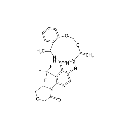 C=C1CCOc2ccccc2C(=C)Nc2nc1nc1cnc(N3CCOCC3=O)c(C(F)(F)F)c21